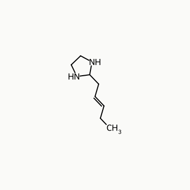 CCC=CCC1NCCN1